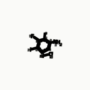 Cc1c(N)ccc(I)c1F.ClI